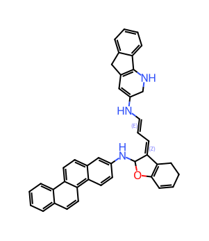 C1=CC2=C(CC1)/C(=C/C=C/NC1=CC3=C(NC1)c1ccccc1C3)C(Nc1ccc3c(ccc4c5ccccc5ccc34)c1)O2